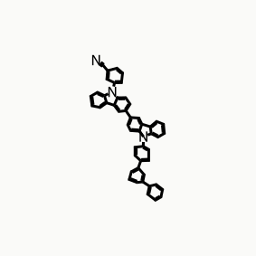 N#Cc1cccc(-n2c3ccccc3c3cc(-c4ccc5c(c4)c4ccccc4n5-c4ccc(-c5cccc(-c6ccccc6)c5)cc4)ccc32)c1